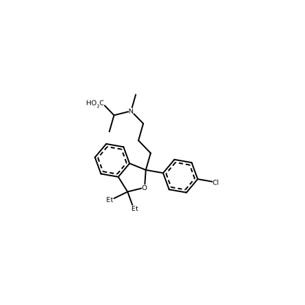 CCC1(CC)OC(CCCN(C)C(C)C(=O)O)(c2ccc(Cl)cc2)c2ccccc21